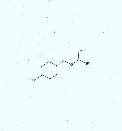 CC(C)C1CCC(COC(C(C)C)C(C)C)CC1